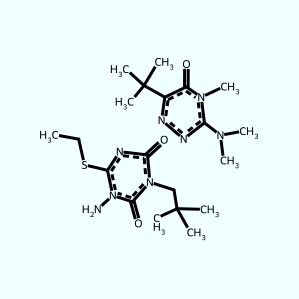 CCSc1nc(=O)n(CC(C)(C)C)c(=O)n1N.CN(C)c1nnc(C(C)(C)C)c(=O)n1C